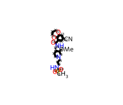 COC1CN(CCCNS(C)(=O)=O)CC[C@H]1CNC(=O)c1cc(C#N)cc2c1OCCCO2